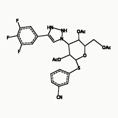 CC(=O)OCC1OC(Sc2cccc(C#N)c2)C(OC(C)=O)C(N2C=C(c3cc(F)c(F)c(F)c3)NN2)C1OC(C)=O